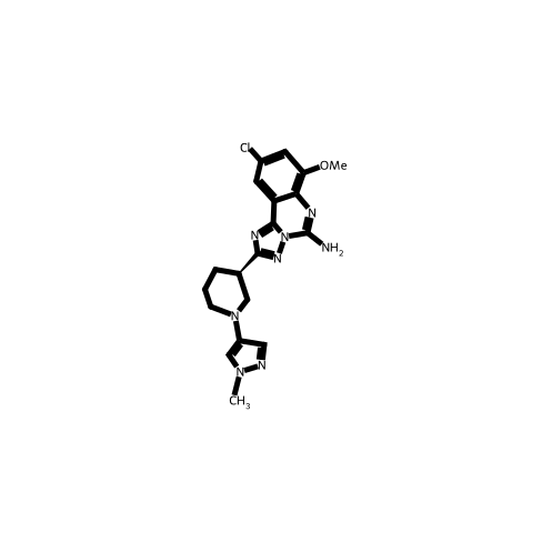 COc1cc(Cl)cc2c1nc(N)n1nc([C@@H]3CCCN(c4cnn(C)c4)C3)nc21